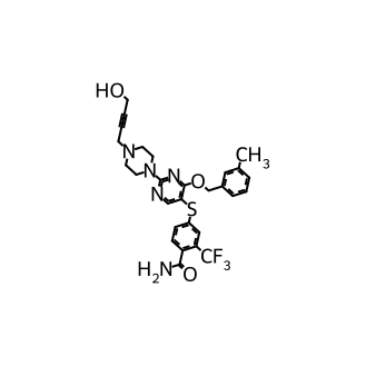 Cc1cccc(COc2nc(N3CCN(CC#CCO)CC3)ncc2Sc2ccc(C(N)=O)c(C(F)(F)F)c2)c1